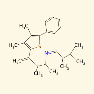 C=C(c1sc(-c2ccccc2)c(C)c1C)C(C)C(C)N=CC(C)C(C)C